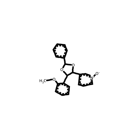 COc1ccccc1C1OC(c2ccccc2)OC1c1ccc[n+]([O-])c1